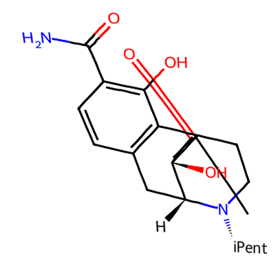 CCC[C@@H](C)N1CCC23CC(=O)CC[C@@]2(O)[C@H]1Cc1ccc(C(N)=O)c(O)c13